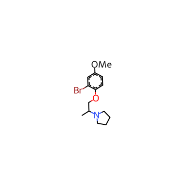 COc1ccc(OCC(C)N2CCCC2)c(Br)c1